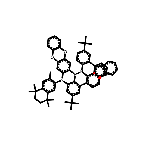 Cc1cc2c(cc1N1c3cc4c(cc3B3c5c(cc(C(C)(C)C)cc51)-c1ccc5c(sc6ccccc65)c1N3c1ccc(C(C)(C)C)cc1-c1ccccc1)Oc1ccccc1O4)C(C)(C)CCC2(C)C